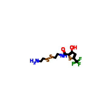 NCCSSCCNC(=O)c1sc(C(F)(F)F)cc1O